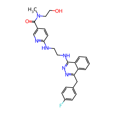 CN(CCO)C(=O)c1ccc(NCCNc2nnc(Cc3ccc(F)cc3)c3ccccc23)nc1